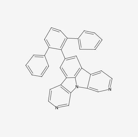 c1ccc(-c2cccc(-c3ccccc3)c2-c2cc3c4ccncc4n4c5cnccc5c(c2)c34)cc1